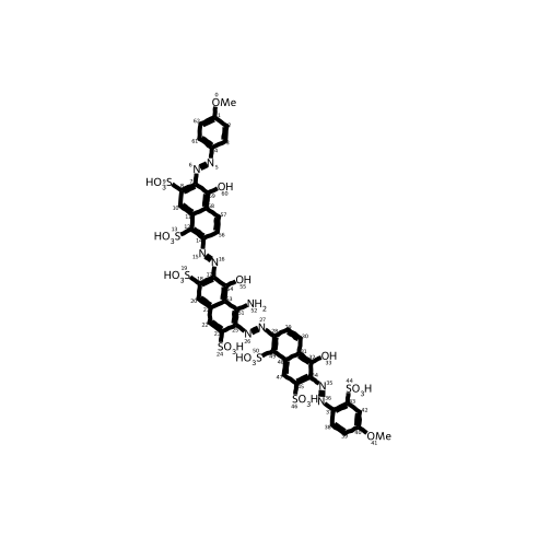 COc1ccc(N=Nc2c(S(=O)(=O)O)cc3c(S(=O)(=O)O)c(N=Nc4c(S(=O)(=O)O)cc5cc(S(=O)(=O)O)c(N=Nc6ccc7c(O)c(N=Nc8ccc(OC)cc8S(=O)(=O)O)c(S(=O)(=O)O)cc7c6S(=O)(=O)O)c(N)c5c4O)ccc3c2O)cc1